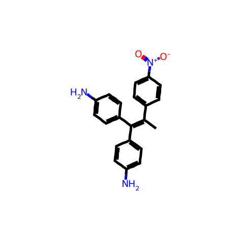 CC(=C(c1ccc(N)cc1)c1ccc(N)cc1)c1ccc([N+](=O)[O-])cc1